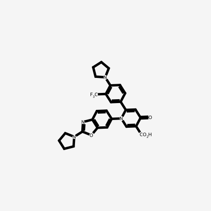 O=C(O)c1cn(-c2ccc3nc(N4CCCC4)oc3c2)c(-c2ccc(N3CCCC3)c(C(F)(F)F)c2)cc1=O